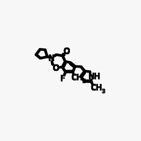 CC1=CC=C(Cc2cc3c(c(F)c2C)OCN(C2CCCC2)CC3=O)CN1